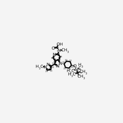 CN(C(=O)O)c1cc2c(cn1)c(-c1ccn(C)n1)nn2[C@H]1CC[C@H](O[Si](C)(C)C(C)(C)C)CC1